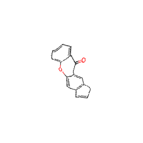 O=c1c2ccccc2oc2cc3c(cc12)CC=C3